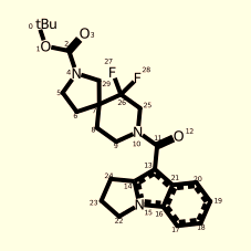 CC(C)(C)OC(=O)N1CCC2(CCN(C(=O)c3c4n(c5ccccc35)CCC4)CC2(F)F)C1